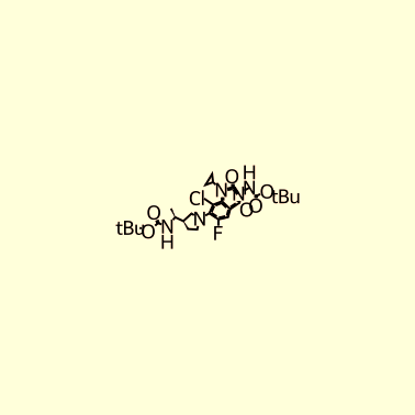 C[C@H](NC(=O)OC(C)(C)C)[C@@H]1CCN(c2c(F)cc3c(=O)n(NC(=O)OC(C)(C)C)c(=O)n(C4CC4)c3c2Cl)C1